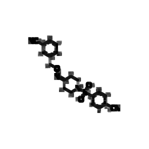 N#Cc1ccc(S(=O)(=O)N2CCC(=NOCc3cccc(C#N)c3)CC2)cc1